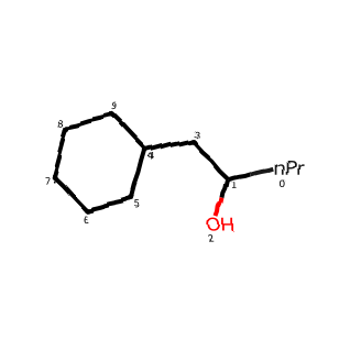 CCCC(O)CC1CC[CH]CC1